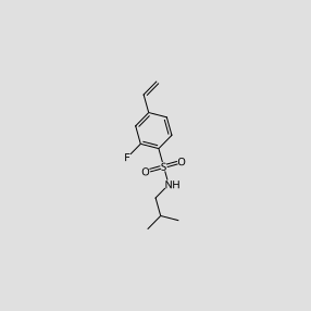 C=Cc1ccc(S(=O)(=O)NCC(C)C)c(F)c1